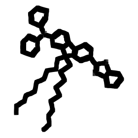 CCCCCCCCCCC1(CCCCCCCCCC)c2cc(-c3nc4ccccc4s3)ccc2-c2ccc(N(c3ccccc3)c3ccccc3)cc21